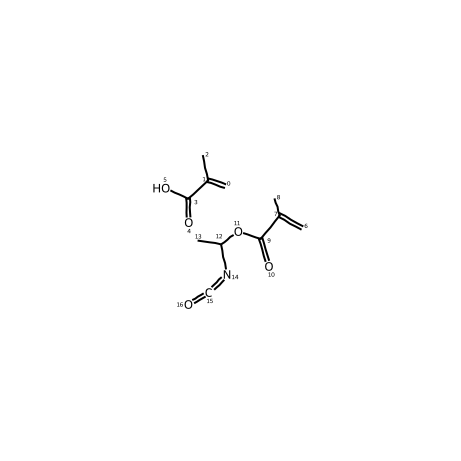 C=C(C)C(=O)O.C=C(C)C(=O)OC(C)N=C=O